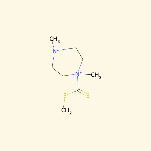 [CH2]SC(=S)[N+]1(C)CCN(C)CC1